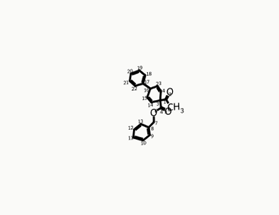 CC(=O)C1(C(=O)OCc2ccccc2)C=CC(c2ccccc2)C=C1